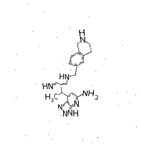 CC(/C(C=N)=C/NCc1ccc2c(c1)CCNC2)c1cc(N)nc2[nH]nnc12